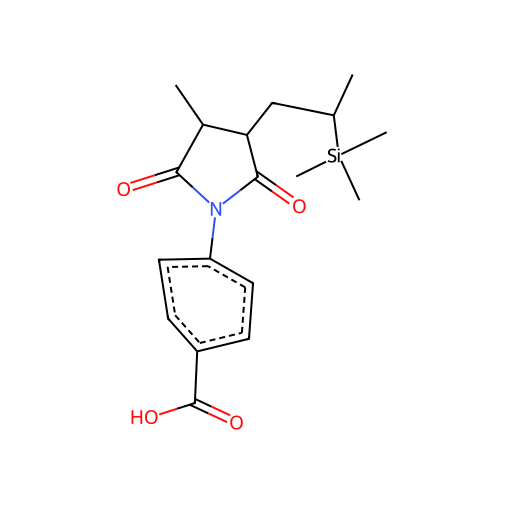 CC1C(=O)N(c2ccc(C(=O)O)cc2)C(=O)C1CC(C)[Si](C)(C)C